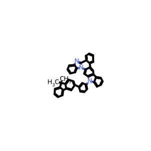 CC1(C)c2ccccc2-c2cc(-c3cccc(-n4c5ccccc5c5cc6c7ccccc7c7nc8ccccc8n7c6cc54)c3)ccc21